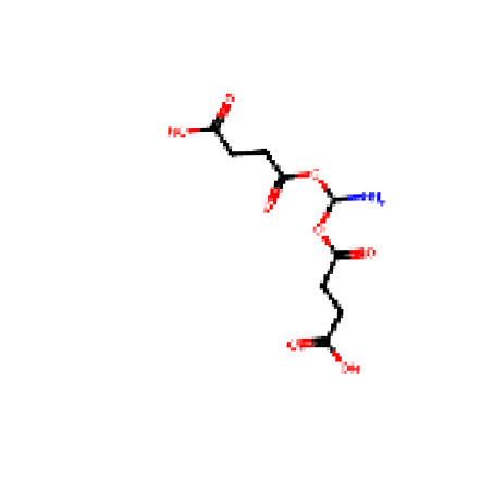 NC(OC(=O)CCC(=O)O)OC(=O)CCC(=O)O